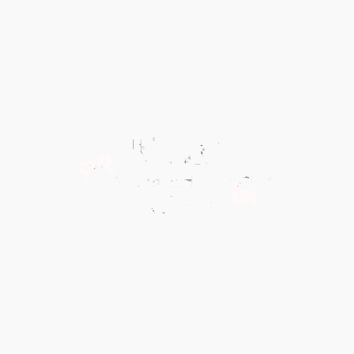 CCCC[C@]1(O)CC[C@H]2[C@@H]3CC[C@H]4CC5(CCOO5)C[C@H](C)[C@]4(C)[C@H]3CC[C@@]21C